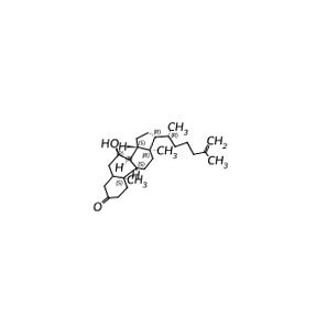 C=C(C)CCC[C@@H](C)[C@H]1CC[C@H]2[C@@H]3[C@H](O)CC4CC(=O)CC[C@]4(C)[C@H]3CC[C@]12C